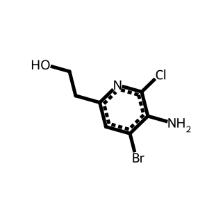 Nc1c(Br)cc(CCO)nc1Cl